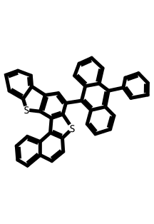 c1ccc(-c2c3ccccc3c(-c3cc4c5ccccc5sc4c4c3sc3ccc5ccccc5c34)c3ccccc23)cc1